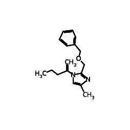 C=C(CCC)n1cc(C)nc1COCc1ccccc1